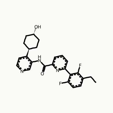 CCc1ccc(F)c(-c2cccc(C(=O)Nc3cnccc3[C@H]3CC[C@H](O)CC3)n2)c1F